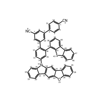 N#Cc1ccc(-c2cc(C#N)cc(-c3ccc(-n4c5ccccc5c5cc6oc7ccccc7c6cc54)cc3-c3cccc4c3sc3ccccc34)c2)cc1